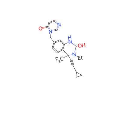 CCN1C(O)Nc2cc(Cn3cnccc3=O)ccc2C1(C#CC1CC1)C(F)(F)F